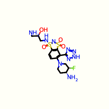 NC[C@@H](O)CNS1(=O)=NS(=O)(=O)c2c1ccc(N1CC[C@@H](N)[C@H](F)C1)c2-c1nn[nH]n1